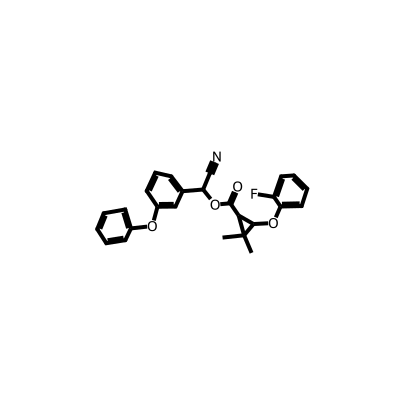 CC1(C)C(Oc2ccccc2F)C1C(=O)OC(C#N)c1cccc(Oc2ccccc2)c1